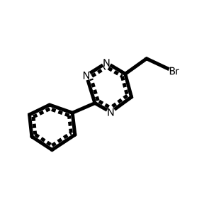 BrCc1cnc(-c2ccccc2)nn1